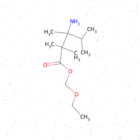 CCOCOC(=O)C(C)(C)C(C)(N)C(C)C